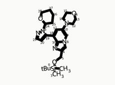 CC(C)(C)[Si](C)(C)OCc1cn2cc(N3CCOCC3)cc(-c3ccnn3C3CCCCO3)c2n1